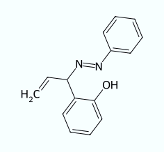 C=CC(N=Nc1ccccc1)c1ccccc1O